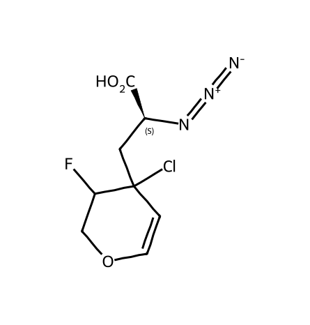 [N-]=[N+]=N[C@@H](CC1(Cl)C=COCC1F)C(=O)O